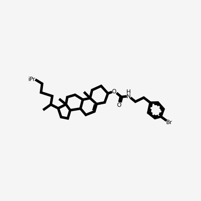 CC(C)CCCC(C)C1CCC2C3CC=C4CC(OC(=O)NCCc5ccc(Br)cc5)CCC4(C)C3CCC12C